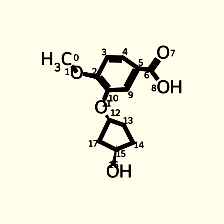 COc1ccc(C(=O)O)cc1O[C@@H]1CC[C@@H](O)C1